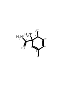 CC1=CC(N)(C(N)=O)C(Cl)C=C1